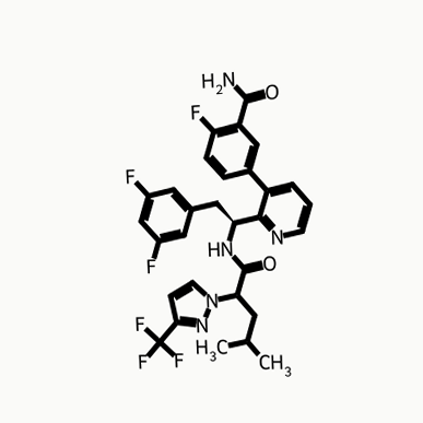 CC(C)CC(C(=O)N[C@@H](Cc1cc(F)cc(F)c1)c1ncccc1-c1ccc(F)c(C(N)=O)c1)n1ccc(C(F)(F)F)n1